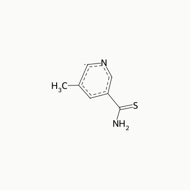 Cc1[c]ncc(C(N)=S)c1